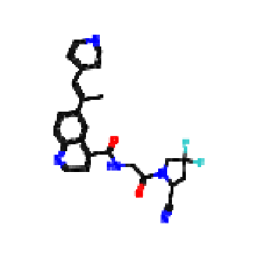 CC(=Cc1ccncc1)c1ccc2nccc(C(=O)NCC(=O)N3CC(F)(F)CC3C#N)c2c1